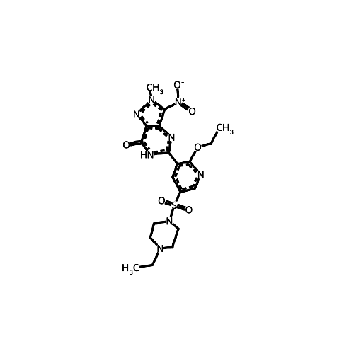 CCOc1ncc(S(=O)(=O)N2CCN(CC)CC2)cc1-c1nc2c([N+](=O)[O-])n(C)nc2c(=O)[nH]1